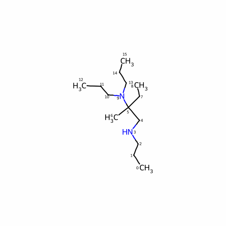 CCCNCC(C)(CC)N(CCC)CCC